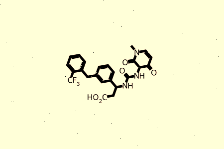 CN1C=CC(=O)C(NC(=O)NC(CC(=O)O)c2cccc(Cc3ccccc3C(F)(F)F)c2)C1=O